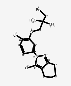 CC(C)(CBr)COc1cc(-n2nc3c(c2Cl)CCCC3)ccc1Cl